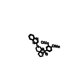 COc1ccc(S(=O)(=O)N2CCCC23CCN(c2cnc4ccccc4n2)CC3)cc1OC